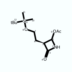 CC(=O)OC1NC(=O)[C@H]1CCO[Si](C)(C)C(C)(C)C